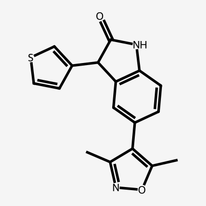 Cc1noc(C)c1-c1ccc2c(c1)C(c1ccsc1)C(=O)N2